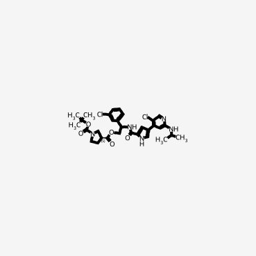 CC(C)Nc1cc(-c2c[nH]c(C(=O)NC(COC(=O)[C@H]3CCN(C(=O)OC(C)(C)C)C3)c3cccc(Cl)c3)c2)c(Cl)cn1